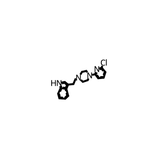 Clc1cccc(N2CCN(CCc3c[nH]c4ccccc34)CC2)n1